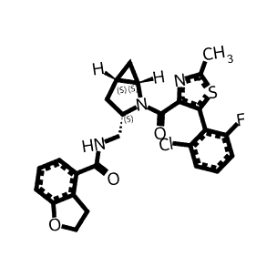 Cc1nc(C(=O)N2[C@H](CNC(=O)c3cccc4c3CCO4)C[C@@H]3C[C@@H]32)c(-c2c(F)cccc2Cl)s1